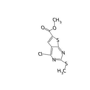 COC(=O)c1cc2c(Cl)nc(SC)nc2s1